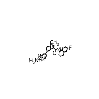 Cn1cc(C(=O)N[C@H]2CCCc3cc(F)ccc32)c2cc(-c3ccn4nc(N)nc4c3)ccc21